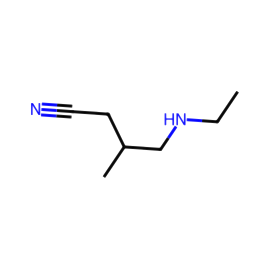 CCNCC(C)CC#N